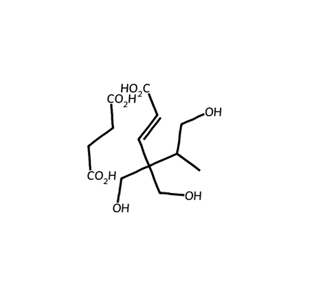 CC(CO)C(C=CC(=O)O)(CO)CO.O=C(O)CCC(=O)O